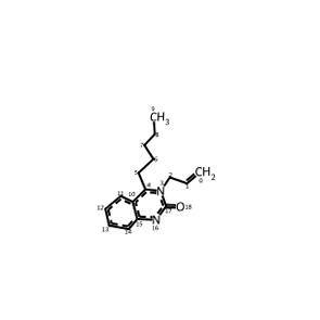 C=CCn1c(CCCCC)c2ccccc2nc1=O